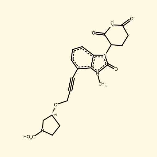 Cn1c(=O)n(C2CCC(=O)NC2=O)c2cccc(C#CCO[C@@H]3CCN(C(=O)O)C3)c21